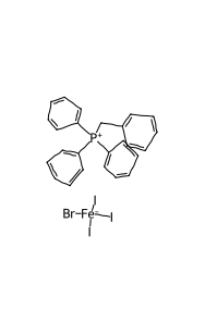 [Br][Fe-]([I])([I])[I].c1ccc(C[P+](c2ccccc2)(c2ccccc2)c2ccccc2)cc1